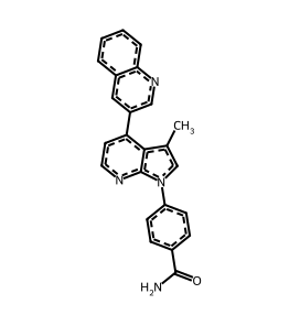 Cc1cn(-c2ccc(C(N)=O)cc2)c2nccc(-c3cnc4ccccc4c3)c12